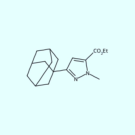 CCOC(=O)c1cc(C23CC4CC(CC(C4)C2)C3)nn1C